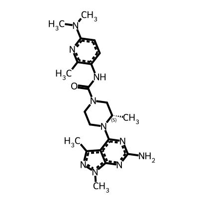 Cc1nc(N(C)C)ccc1NC(=O)N1CCN(c2nc(N)nc3c2c(C)nn3C)[C@@H](C)C1